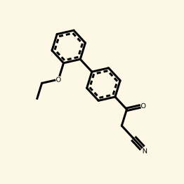 CCOc1ccccc1-c1ccc(C(=O)CC#N)cc1